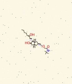 CCCCC[C@H](O)/C=C/[C@@H]1[C@H]2C/C(=C/COCC(=O)N(C)C(C)(C)C)C[C@H]2C[C@H]1O